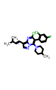 CC(C)/C=C/c1cnn2c(N3CCC(C)CC3)c(-c3ccc(F)cc3Cl)c(Cl)nc12